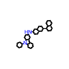 c1ccc(-n2c3ccccc3c3cc(Nc4ccc5cc(-c6cccc7ccccc67)ccc5c4)ccc32)cc1